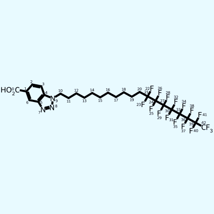 O=C(O)c1ccc2c(c1)nnn2CCCCCCCCCCCC(F)(F)C(F)(F)C(F)(F)C(F)(F)C(F)(F)C(F)(F)C(F)(F)C(F)(F)F